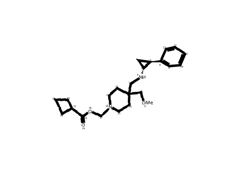 COCC1(CN[C@@H]2C[C@H]2c2ccccc2)CCN(COC(=O)C2CCC2)CC1